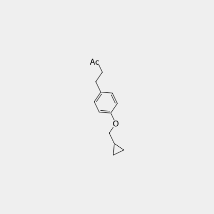 CC(=O)CCc1ccc(OCC2CC2)cc1